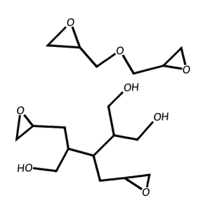 C(OCC1CO1)C1CO1.OCC(CO)C(CC1CO1)C(CO)CC1CO1